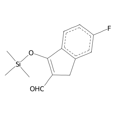 C[Si](C)(C)OC1=C(C=O)Cc2cc(F)ccc21